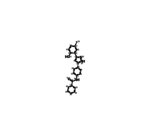 O=C(Nc1ccc(-c2cc(-c3cc(F)ccc3O)n[nH]2)cc1)c1ccccc1